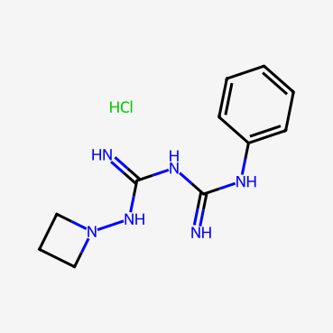 Cl.N=C(NC(=N)NN1CCC1)Nc1ccccc1